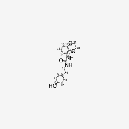 O=C(NCCc1ccc(O)cc1)Nc1cccc2c1OCCO2